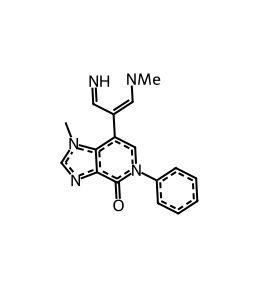 CN/C=C(\C=N)c1cn(-c2ccccc2)c(=O)c2ncn(C)c12